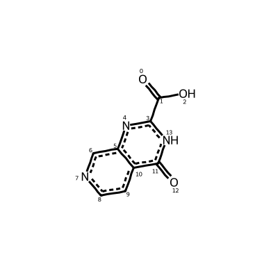 O=C(O)c1nc2cnccc2c(=O)[nH]1